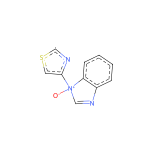 [O-][N+]1(c2cs[c]n2)C=Nc2ccccc21